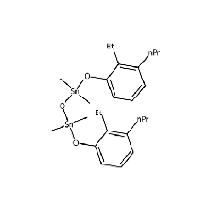 CCCc1cccc([O][Sn]([CH3])([CH3])[O][Sn]([CH3])([CH3])[O]c2cccc(CCC)c2CC)c1CC